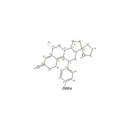 CNc1ccc(C2C[C@@]3(C)C(CCC34CCCO4)C3C[C@@H](C)C4=CC(=O)CCC4=C23)cc1